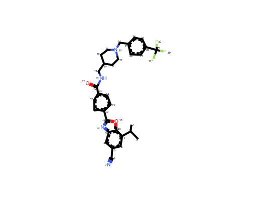 CC(C)c1cc(C#N)cc2nc(-c3ccc(C(=O)NCC4CCN(Cc5ccc(C(F)(F)F)cc5)CC4)cc3)oc12